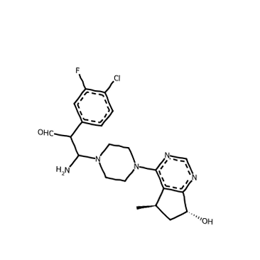 C[C@@H]1C[C@@H](O)c2ncnc(N3CCN(C(N)C(C=O)c4ccc(Cl)c(F)c4)CC3)c21